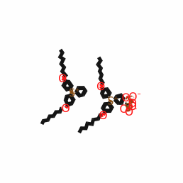 CCCCCCCCOc1ccc([S+](c2ccccc2)c2ccc(OCCCCCCCC)cc2)cc1.CCCCCCCCOc1ccc([S+](c2ccccc2)c2ccc(OCCCCCCCC)cc2)cc1.O=S(=O)([O-])CS(=O)(=O)[O-]